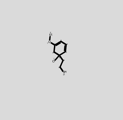 CCOC1=CC=CC(Cl)(CCC(C)C)C1